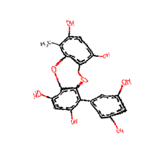 Cc1c(O)cc(O)c2c1Oc1c(O)cc(O)c(-c3cc(O)cc(O)c3)c1O2